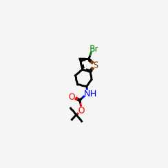 CC(C)(C)OC(=O)NC1CCc2cc(Br)sc2C1